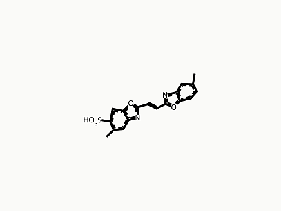 Cc1ccc2oc(C=Cc3nc4cc(C)c(S(=O)(=O)O)cc4o3)nc2c1